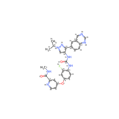 CNC(=O)c1cc(Oc2ccc(NC(=O)Nc3cn(C(C)C)nc3-c3ccc4ncncc4c3)c(F)c2)ccn1